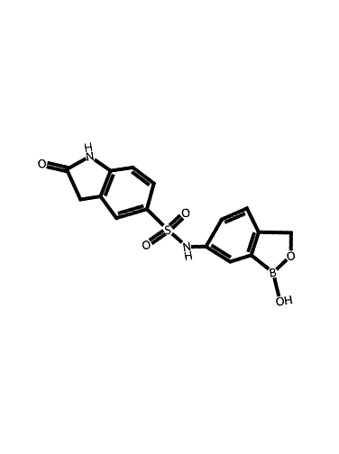 O=C1Cc2cc(S(=O)(=O)Nc3ccc4c(c3)B(O)OC4)ccc2N1